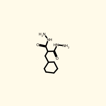 NNC(=O)C(CC1CCCCC1)C(=O)NN